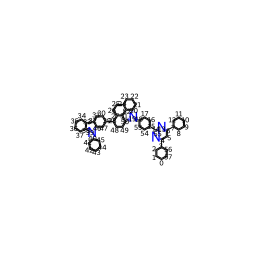 c1ccc(-c2cc(-c3ccccc3)nc(-c3ccc(-n4c5cccc6ccc7c(-c8ccc9c%10ccccc%10n(-c%10ccccc%10)c9c8)ccc4c7c65)cc3)n2)cc1